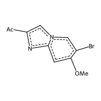 COc1cc2nc(C(C)=O)cn2cc1Br